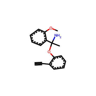 C#Cc1ccccc1OC(C)(N)c1ccccc1OC